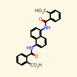 O=C(O)c1ccccc1C(=O)Nc1cccc2c(NC(=O)c3ccccc3C(=O)O)cccc12